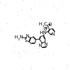 CS(=O)(=O)c1ccncc1Nc1cc(-c2ccc3sc(N)nc3c2)c2nccnc2c1